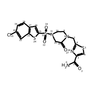 NC(=O)c1csc(CN2CCN(S(=O)(=O)c3cc4ccc(Cl)cc4s3)CC2=O)n1